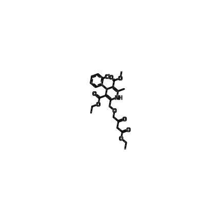 CCOC(=O)CC(=O)COCC1=C(C(=O)OCC)C(c2ccccc2Cl)C(C(=O)OC)=C(C)N1